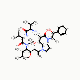 C=C(C[C@@H](OC)C([C@@H](C)CC)N(C)C(=O)[C@@H](NC(=O)C(N)C(C)C)C(C)C)N1CCC[C@H]1[C@H](OC)[C@@H](C)C(=O)N[C@H](C)[C@@H](O)C1=CCCC=C1